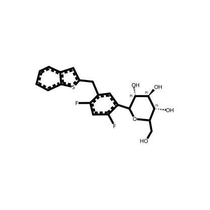 OCC1OC(c2cc(Cc3cc4ccccc4s3)c(F)cc2F)[C@H](O)[C@@H](O)[C@@H]1O